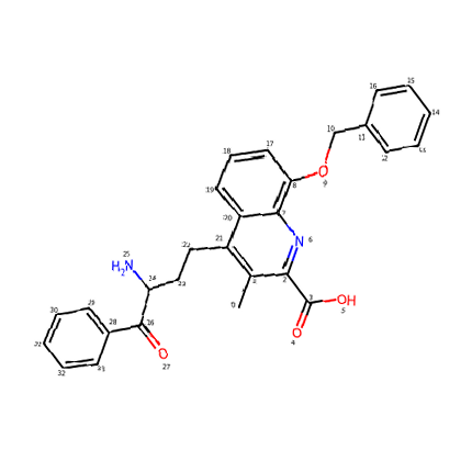 Cc1c(C(=O)O)nc2c(OCc3ccccc3)cccc2c1CCC(N)C(=O)c1ccccc1